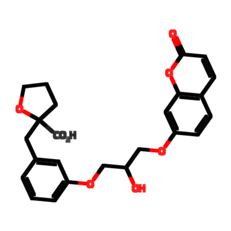 O=C(O)C1(Cc2cccc(OCC(O)COc3ccc4ccc(=O)oc4c3)c2)CCCO1